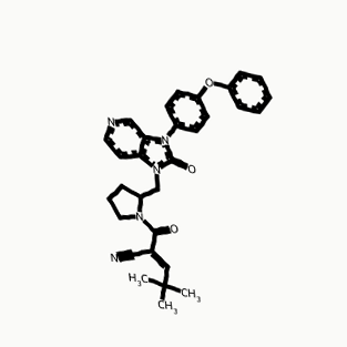 CC(C)(C)C=C(C#N)C(=O)N1CCCC1Cn1c(=O)n(-c2ccc(Oc3ccccc3)cc2)c2cnccc21